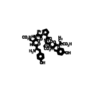 CC(C)[C@H](NC(=O)[C@H](CC(=O)O)NC(=O)[C@@H](N)Cc1ccc(O)cc1)C(=O)N1CCC[C@H]1C(=O)N[C@@H](CC(=O)O)C(=O)N[C@@H](Cc1ccc(O)cc1)C(=O)N[C@@H](C)C(=O)O